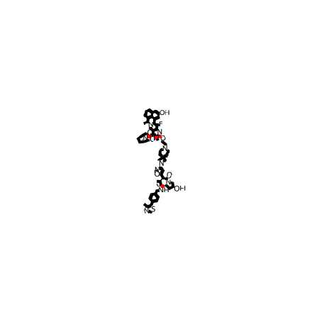 CCc1cccc2cc(O)cc(-c3ncc4c(N5CC6CCC(C5)N6C(=O)OC(C)(C)C)nc(OCCN5CCC6(CC5)CN(c5cc([C@@H](C(=O)N7C[C@H](O)C[C@H]7C(=O)NCc7ccc(-c8scnc8C)cc7)C(C)C)on5)C6)nc4c3F)c12